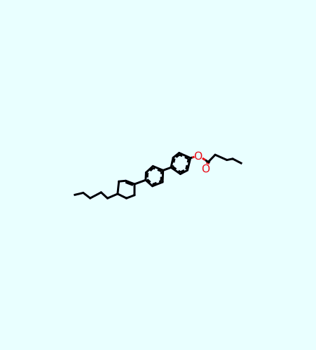 CCCCCC1CC=C(c2ccc(-c3ccc(OC(=O)CCCC)cc3)cc2)CC1